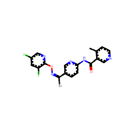 CC/C(=N/Oc1ncc(F)cc1F)c1ccc(NC(=O)c2cnccc2C)nc1